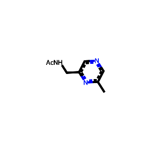 CC(=O)NCc1cncc(C)n1